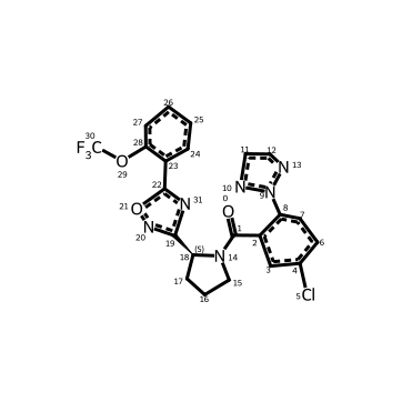 O=C(c1cc(Cl)ccc1-n1nccn1)N1CCC[C@H]1c1noc(-c2ccccc2OC(F)(F)F)n1